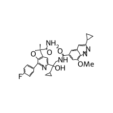 COc1cc(C(=O)NCC(O)(c2cc3c(c(-c4ccc(F)cc4)n2)OC[C@]3(C)C(N)=O)C2CC2)cc2cc(C3CC3)nnc12